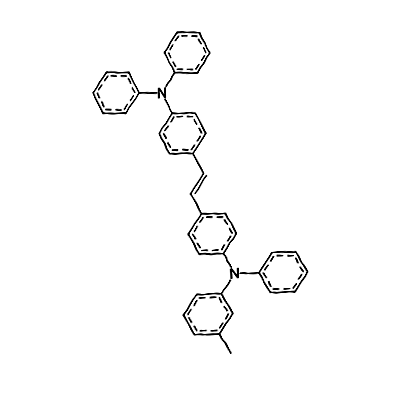 Cc1cccc(N(c2ccccc2)c2ccc(/C=C/c3ccc(N(c4ccccc4)c4ccccc4)cc3)cc2)c1